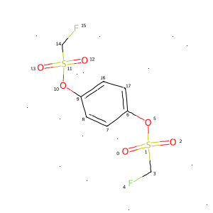 O=S(=O)(CF)Oc1ccc(OS(=O)(=O)CF)cc1